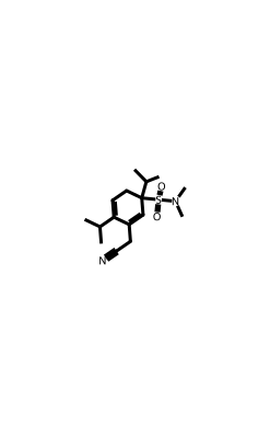 CC(C)C1=CCC(C(C)C)(S(=O)(=O)N(C)C)C=C1CC#N